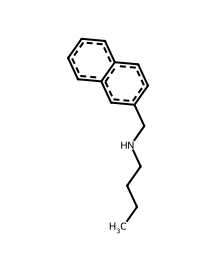 CCCCNCc1ccc2ccccc2c1